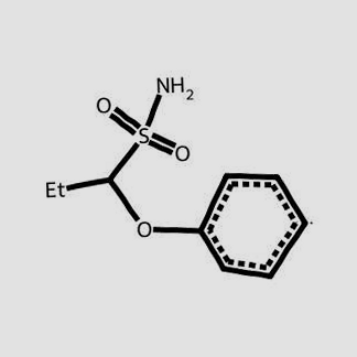 CCC(Oc1cc[c]cc1)S(N)(=O)=O